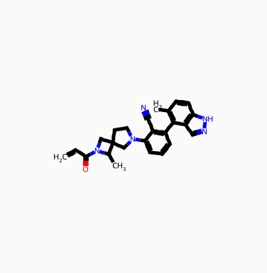 C=CC(=O)N1CC2(CCN(c3cccc(-c4c(C)ccc5[nH]ncc45)c3C#N)C2)C1C